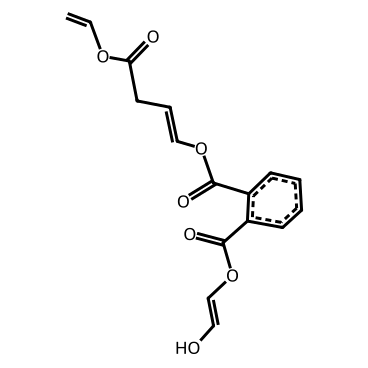 C=COC(=O)CC=COC(=O)c1ccccc1C(=O)OC=CO